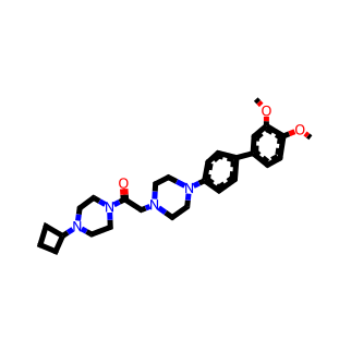 COc1ccc(-c2ccc(N3CCN(CC(=O)N4CCN(C5CCC5)CC4)CC3)cc2)cc1OC